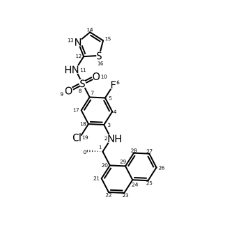 C[C@H](Nc1cc(F)c(S(=O)(=O)Nc2nccs2)cc1Cl)c1cccc2ccccc12